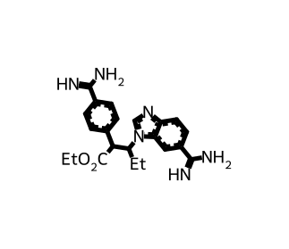 CCOC(=O)C(c1ccc(C(=N)N)cc1)C(CC)n1cnc2ccc(C(=N)N)cc21